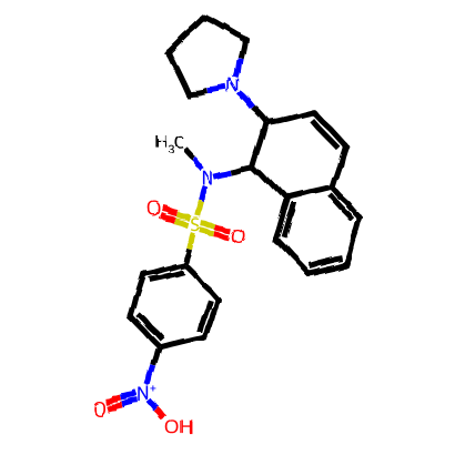 CN(C1c2ccccc2C=CC1N1CCCC1)S(=O)(=O)c1ccc([N+](=O)O)cc1